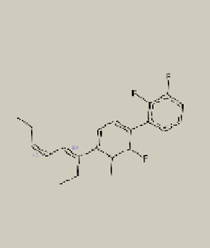 CC/C=C\C=C(/CC)C1=CC=C(c2cccc(F)c2F)C(F)C1C